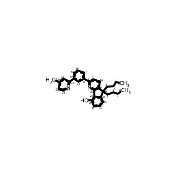 CCCCC1(CCCC)c2ccc(-c3cccc(-c4cc(C)ccn4)c3)nc2-c2c(O)cccc21